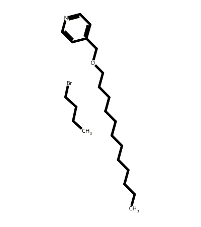 CCCCBr.CCCCCCCCCCCCOCc1ccncc1